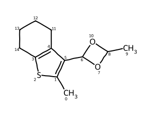 Cc1sc2c(c1C1OC(C)O1)CCCC2